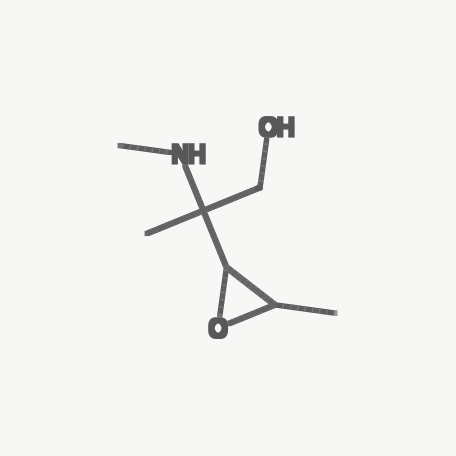 CNC(C)(CO)C1OC1C